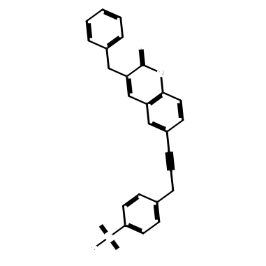 NS(=O)(=O)c1ccc(CC#Cc2ccc3[nH]c(=O)c(Cc4ccccc4)cc3c2)cc1